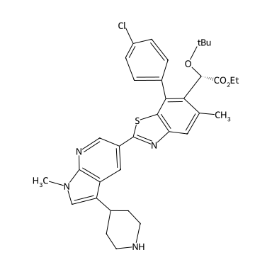 CCOC(=O)[C@@H](OC(C)(C)C)c1c(C)cc2nc(-c3cnc4c(c3)c(C3CCNCC3)cn4C)sc2c1-c1ccc(Cl)cc1